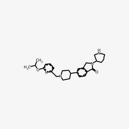 CC(C)Oc1cccc(CN2CCC(c3ccc4c(c3)CN(C3CCCNC3)C4=O)CC2)n1